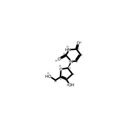 O=c1ccn([C@H]2CC(O)=C(CO)O2)c(=O)[nH]1